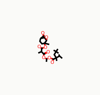 CC(OC(=O)C(C)C(=O)OC1(C)CCC2CC1OC2=O)OC(=O)C(C)(CC(C)(C)C)C(C)C